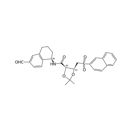 CC1(C)O[C@H](CS(=O)(=O)c2ccc3ccccc3c2)[C@H](C(=O)N[C@@H]2CCCc3cc(C=O)ccc32)O1